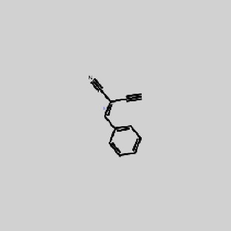 C#C/C(C#N)=C\c1ccccc1